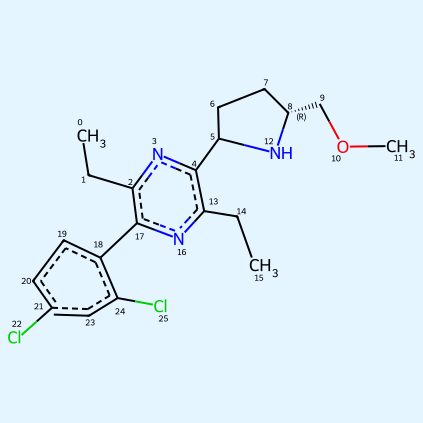 CCc1nc(C2CC[C@H](COC)N2)c(CC)nc1-c1ccc(Cl)cc1Cl